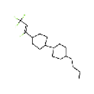 CCCCC1CCC(C2CCC(/C(F)=C/C(F)(F)F)CC2)CC1